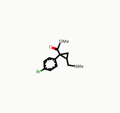 CNCC1CC1(C(=O)OC)c1ccc(Br)cc1